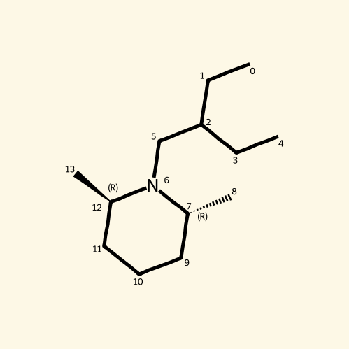 CCC(CC)CN1[C@H](C)CCC[C@H]1C